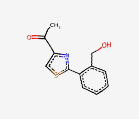 CC(=O)c1csc(-c2ccccc2CO)n1